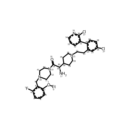 CCOc1cccc(F)c1CN1CCN(C(=O)[C@H](N)C2CCN(CCc3cc(Cl)ccc3-c3cccnc3Cl)CC2)CC1